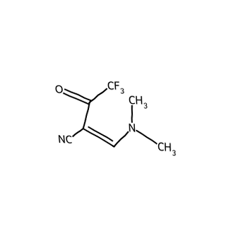 CN(C)C=C(C#N)C(=O)C(F)(F)F